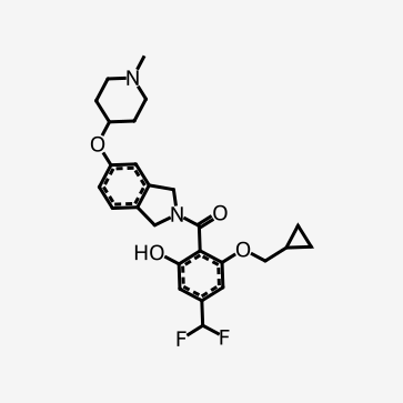 CN1CCC(Oc2ccc3c(c2)CN(C(=O)c2c(O)cc(C(F)F)cc2OCC2CC2)C3)CC1